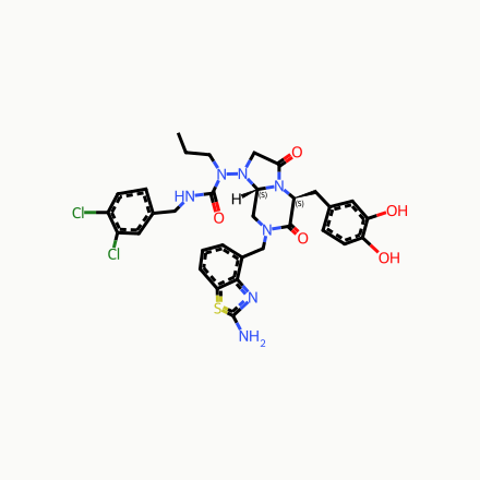 CCCN(C(=O)NCc1ccc(Cl)c(Cl)c1)N1CC(=O)N2[C@@H](Cc3ccc(O)c(O)c3)C(=O)N(Cc3cccc4sc(N)nc34)C[C@@H]21